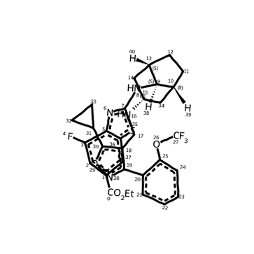 CCOC(=O)c1cc(F)c2nc(N[C@@H]3[C@@H]4CC[C@H]3C[C@@H](NCc3c(-c5ccccc5OC(F)(F)F)noc3C3CC3)C4)sc2c1